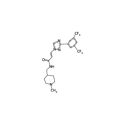 CN1CCC(CNC(=O)C=Cn2cnc(-c3cc(C(F)(F)F)cc(C(F)(F)F)c3)n2)CC1